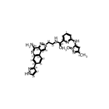 Cc1cc(Nc2cccc(C(=O)NCCn3cc4c(n3)c(N)nc3cc(-c5cc[nH]n5)ccc34)n2)n(C)n1